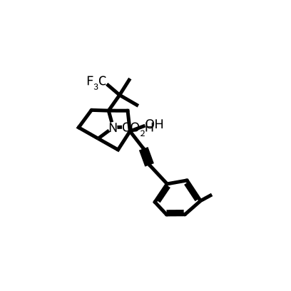 Cc1cccc(C#CC2(O)CC3CCC(C(C)(C)C(F)(F)F)(C2)N3C(=O)O)c1